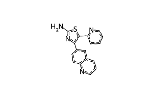 Nc1nc(-c2ccc3ncccc3c2)c(-c2ccccn2)s1